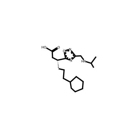 CC(C)NCc1noc([C@H](CCCC2CCCCC2)CC(=O)O)n1